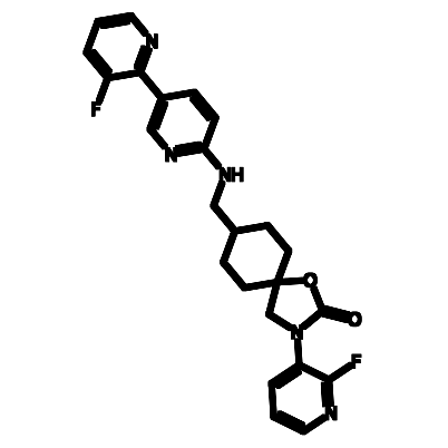 O=C1OC2(CCC(CNc3ccc(-c4ncccc4F)cn3)CC2)CN1c1cccnc1F